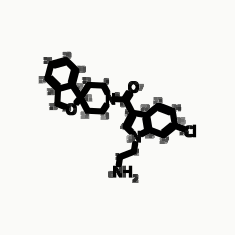 NCCn1cc(C(=O)N2CCC3(CC2)OCc2ccccc23)c2ccc(Cl)cc21